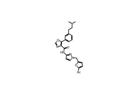 CC(=O)c1ccc(Cn2ccc(NC(=O)c3ncoc3-c3cccc(CCN(C)C)c3)n2)o1